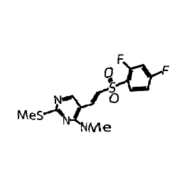 CNc1nc(SC)ncc1C=CS(=O)(=O)c1ccc(F)cc1F